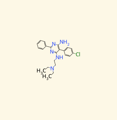 CCN(CC)CCNc1nc(-c2ccccc2)nc(N)c1-c1ccc(Cl)cc1